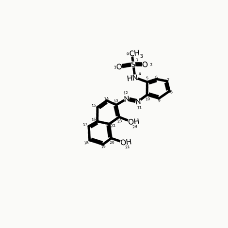 CS(=O)(=O)Nc1ccccc1N=Nc1ccc2cccc(O)c2c1O